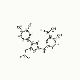 CC(C)Cc1sc(Nc2ccc(O)c(C(=O)O)c2)nc1-c1ccc(Cl)c(Cl)c1